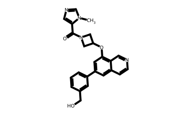 Cn1cncc1C(=O)N1CC(Oc2cc(-c3cccc(CO)c3)cc3ccncc23)C1